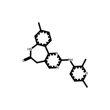 Cc1ccc2c(c1)NC(=S)Cc1cnc(Nc3ccc(C)nc3C)nc1-2